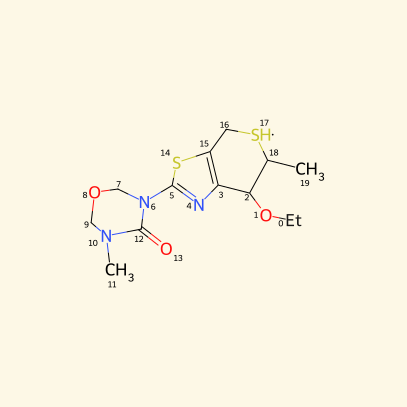 CCOC1c2nc(N3COCN(C)C3=O)sc2C[SH]C1C